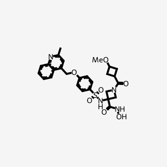 COC1CC(C(=O)N2CC(NS(=O)(=O)c3ccc(OCc4cc(C)nc5ccccc45)cc3)(C(=O)NO)C2)C1